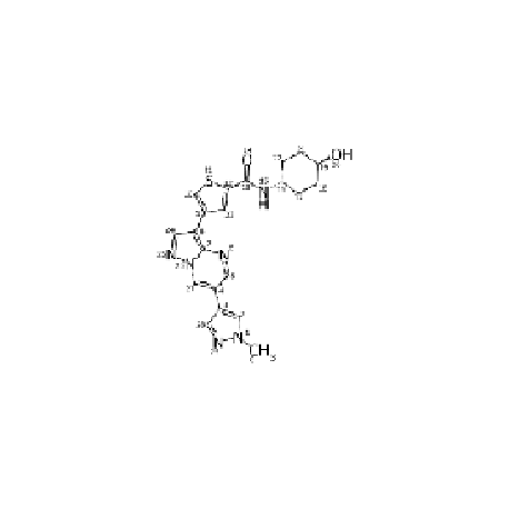 Cn1cc(-c2cnc3c(-c4csc(C(=O)N[C@H]5CC[C@H](O)CC5)c4)cnn3c2)cn1